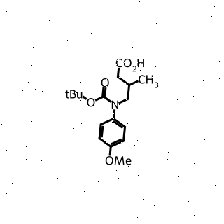 COc1ccc(N(CC(C)CC(=O)O)C(=O)OC(C)(C)C)cc1